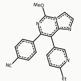 CCc1ccc(-c2c(-c3ccc(C#N)cc3)nc(OC)n3ccnc23)cn1